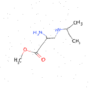 COC(=O)C(N)CNC(C)C